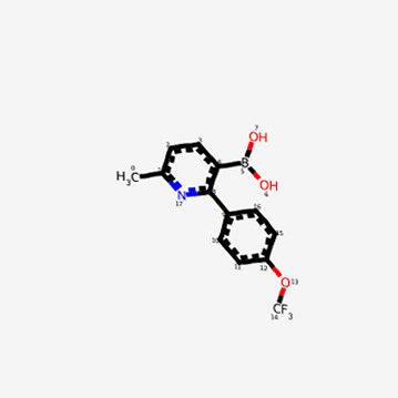 Cc1ccc(B(O)O)c(-c2ccc(OC(F)(F)F)cc2)n1